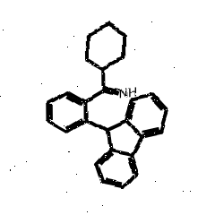 N=C(c1ccccc1C1c2ccccc2-c2ccccc21)C1CCCCC1